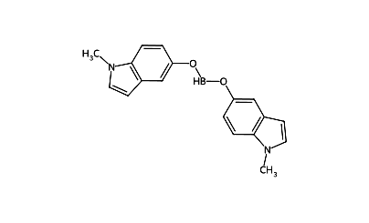 Cn1ccc2cc(OBOc3ccc4c(ccn4C)c3)ccc21